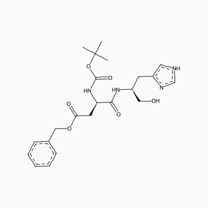 CC(C)(C)OC(=O)N[C@H](CC(=O)OCc1ccccc1)C(=O)N[C@H](CO)Cc1c[nH]cn1